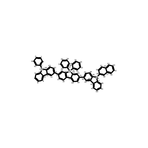 c1ccc(-n2c3ccccc3c3cc(-c4ccc5c(c4)[Si](c4ccccc4)(c4ccccc4)c4cc(-c6ccc7c(c6)c6ccccc6n7-c6ccc7ccccc7c6)ccc4-5)ccc32)cc1